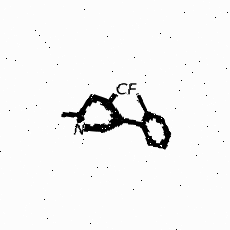 Cc1cc(C(F)(F)F)c(-c2ccccc2C)cn1